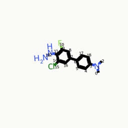 CN(C)c1ccc(-c2cc(F)c(NN)c(Cl)c2)cc1